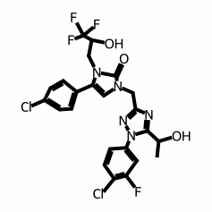 CC(O)c1nc(Cn2cc(-c3ccc(Cl)cc3)n(CC(O)C(F)(F)F)c2=O)nn1-c1ccc(Cl)c(F)c1